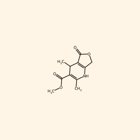 COC(=O)C1=C(C)NC2=C(C(=O)OC2)C1C